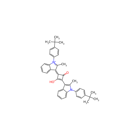 CC1=[N+](c2ccc(C(C)(C)C)cc2)c2ccccc2/C1=C1/C(=O)C(c2c(C)n(-c3ccc(C(C)(C)C)cc3)c3ccccc23)=C1O